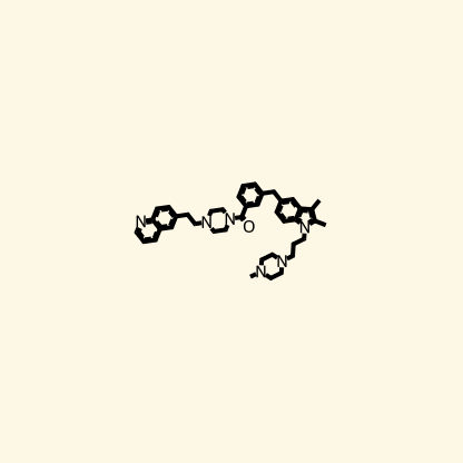 Cc1c(C)n(CCCN2CCN(C)CC2)c2ccc(Cc3cccc(C(=O)N4CCN(CCc5ccc6ncccc6c5)CC4)c3)cc12